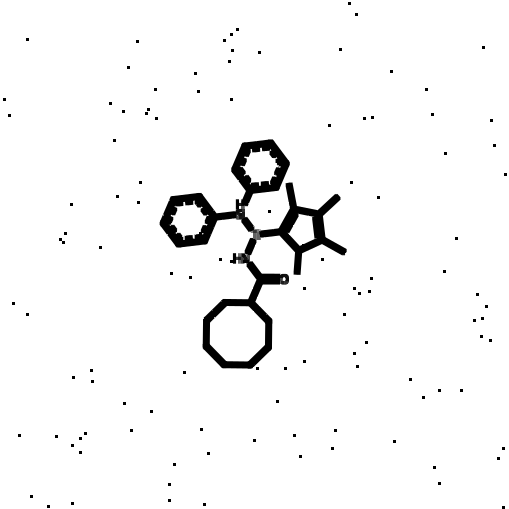 CC1=C(C)C(C)[C]([Ti]([NH]C(=O)C2CCCCCCC2)[SiH](c2ccccc2)c2ccccc2)=C1C